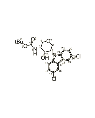 CC(C)(C)OC(=O)N[C@@H]1COC[C@H](n2c3ccc(Cl)cc3c3cc(Cl)ccc32)[C@H]1O